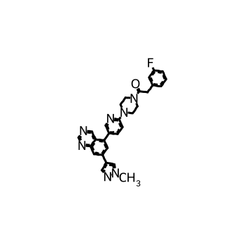 Cn1cc(-c2cc(-c3ccc(N4CCN(C(=O)Cc5cccc(F)c5)CC4)nc3)c3cncnc3c2)cn1